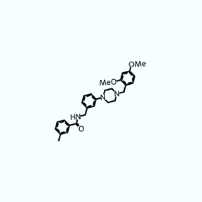 COc1ccc(CN2CCN(c3cccc(CNC(=O)c4cccc(C)c4)c3)CC2)c(OC)c1